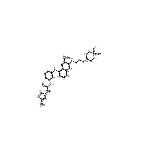 COc1cc2c(Oc3cccc(NC(=O)Nc4cc(C(C)(C)C)on4)c3)ncnc2cc1OCCCN1CCS(=O)(=O)CC1